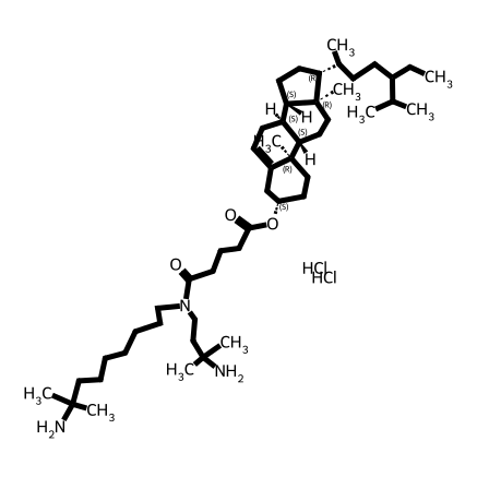 CCC(CCC(C)[C@H]1CC[C@H]2[C@@H]3CC=C4C[C@@H](OC(=O)CCCC(=O)N(CCCCCCCC(C)(C)N)CCC(C)(C)N)CC[C@]4(C)[C@H]3CC[C@]12C)C(C)C.Cl.Cl